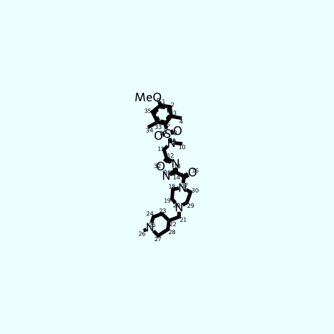 COc1cc(C)c(S(=O)(=O)N(C)Cc2nc(C(=O)N3CCN(CC4CCN(C)CC4)CC3)no2)c(C)c1